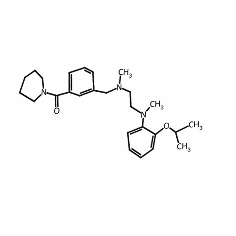 CC(C)Oc1ccccc1N(C)CCN(C)Cc1cccc(C(=O)N2CCCCC2)c1